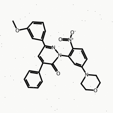 COc1cccc(-c2cc(-c3ccccc3)c(=O)n(-c3cc(N4CCOCC4)ccc3[N+](=O)[O-])n2)c1